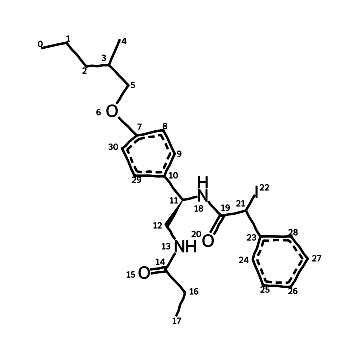 CCCC(C)COc1ccc([C@H](CNC(=O)CC)NC(=O)C(I)c2ccccc2)cc1